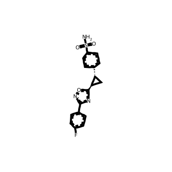 NS(=O)(=O)c1ccc([C@@H]2C[C@H]2c2nc(-c3ccc(F)cc3)no2)cc1